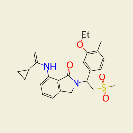 C=C(Nc1cccc2c1C(=O)N(C(CS(C)(=O)=O)c1ccc(C)c(OCC)c1)C2)C1CC1